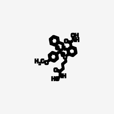 COc1ccc(S(=O)(=O)N(Cc2ccccc2)c2c(OCCCC(=O)NO)cccc2C(=O)NO)cc1